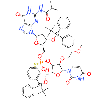 COCCO[C@@H]1[C@H](O[P@@](O)(=S)OC[C@H]2O[C@@H](n3cnc4c(=O)[nH]c(NC(=O)C(C)C)nc43)C[C@@H]2O[Si](c2ccccc2)(c2ccccc2)C(C)(C)C)[C@@H](CO[Si](c2ccccc2)(c2ccccc2)C(C)(C)C)O[C@H]1n1ccc(=O)[nH]c1=O